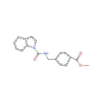 COC(=O)c1ccc(CNC(=O)n2ccc3ccccc32)cc1